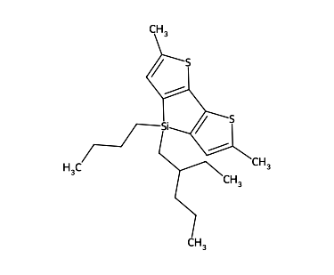 CCCC[Si]1(CC(CC)CCC)c2cc(C)sc2-c2sc(C)cc21